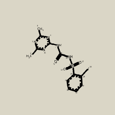 Cc1nc(C)nc(NC(=O)NS(=O)(=O)c2ccccc2I)n1